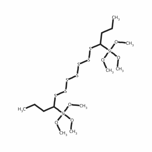 CCCC(SSSSSSSC(CCC)[Si](OC)(OC)OC)[Si](OC)(OC)OC